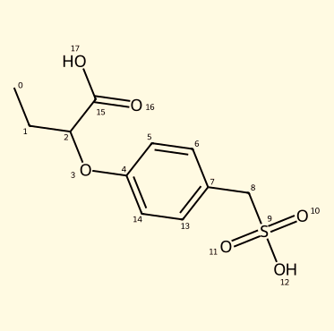 CCC(Oc1ccc(CS(=O)(=O)O)cc1)C(=O)O